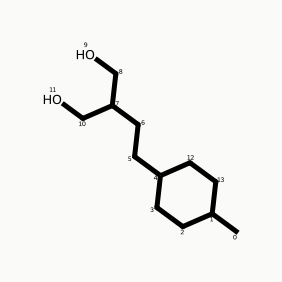 CC1CCC(CCC(CO)CO)CC1